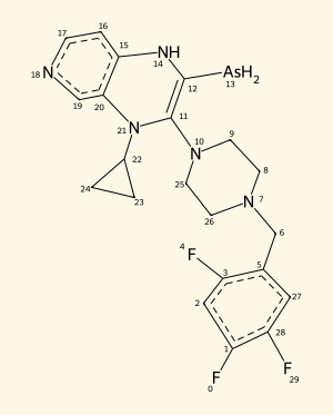 Fc1cc(F)c(CN2CCN(C3=C([AsH2])Nc4ccncc4N3C3CC3)CC2)cc1F